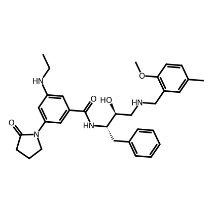 CCNc1cc(C(=O)N[C@@H](Cc2ccccc2)[C@@H](O)CNCc2cc(C)ccc2OC)cc(N2CCCC2=O)c1